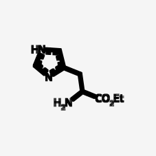 CCOC(=O)C(N)Cc1c[nH]cn1